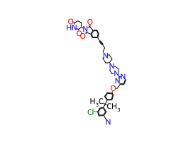 CC(C)(c1ccc(OCc2ccnc(N3CCN(C4CCN(CCC#Cc5ccc6c(c5)C(=O)N(C5CCC(=O)NC5=O)C6=O)CC4)CC3)n2)cc1)c1cc(Cl)cc(C#N)c1